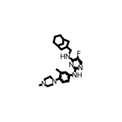 Cc1cc(Nc2ncc(F)c(NCC3CC4CCCC(C4)C3)n2)ccc1N1CCN(C)CC1